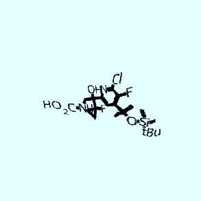 CC(C)(O[Si](C)(C)C(C)(C)C)c1cc(C(O)(CNC(=O)O)C2(F)CC2)nc(Cl)c1F